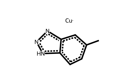 Cc1ccc2[nH]nnc2c1.[Cu]